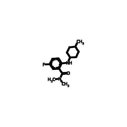 CC1CCC(Nc2ccc(F)cc2C(=O)N(C)C)CC1